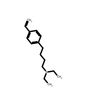 C=Cc1ccc(CCCCN(CC)CC)cc1